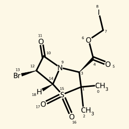 CC1(C)[C@H](C(=O)OCI)N2C(=O)[C@H](Br)[C@H]2S1(=O)=O